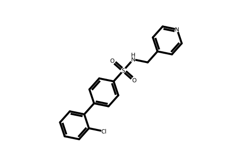 O=S(=O)(NCc1ccncc1)c1ccc(-c2ccccc2Cl)cc1